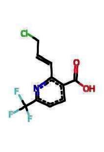 O=C(O)c1ccc(C(F)(F)F)nc1C=CCCl